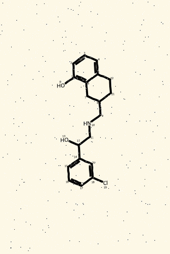 Oc1cccc2c1CC(CNCC(O)c1cccc(Cl)c1)CC2